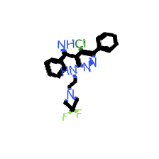 N=C(c1ccccc1)c1c(NCCN2CC(F)(F)C2)nnc(-c2ccccc2)c1Cl